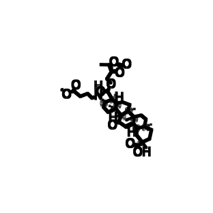 COC(=O)CCCN[C@H]1CC[C@@]2(C)[C@@H](CC[C@]3(C)[C@@H]2C(=O)C=C2[C@@H]4C[C@@](C)(C(=O)O)CC[C@]4(C)CC[C@]23C)[C@]1(C)C(=O)OCc1oc(=O)oc1C